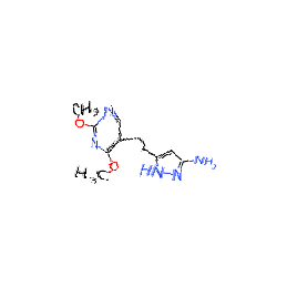 COc1ncc(CCc2cc(N)n[nH]2)c(OC)n1